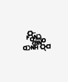 Cc1ccc(NC(=O)[C@H]2CCCN(C(=O)c3c(C)cccc3F)[C@H]2C2C=CC(NC3CCOCC3)=CC2)cc1Cl